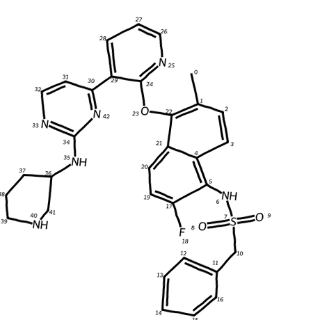 Cc1ccc2c(NS(=O)(=O)Cc3ccccc3)c(F)ccc2c1Oc1ncccc1-c1ccnc(NC2CCCNC2)n1